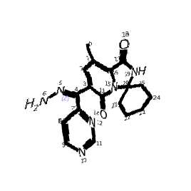 Cc1cc(/C(=N/N)c2ccncn2)c(=O)n2c1C(=O)NC21CCCCC1